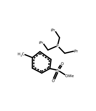 CC(C)CP(CC(C)C)CC(C)C.COS(=O)(=O)c1ccc(C)cc1